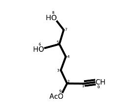 C#CC(CCC(O)CO)OC(C)=O